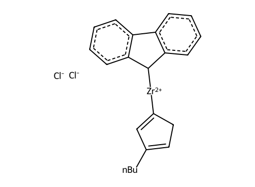 CCCCC1=CC[C]([Zr+2][CH]2c3ccccc3-c3ccccc32)=C1.[Cl-].[Cl-]